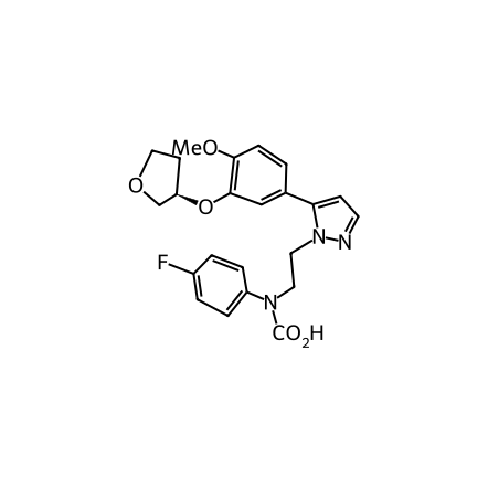 COc1ccc(-c2ccnn2CCN(C(=O)O)c2ccc(F)cc2)cc1O[C@@H]1CCOC1